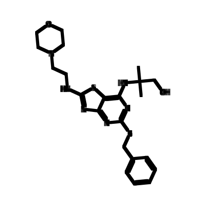 CC(C)(CO)Nc1nc(SCc2ccccc2)nc2nc(NCCN3CCOCC3)sc12